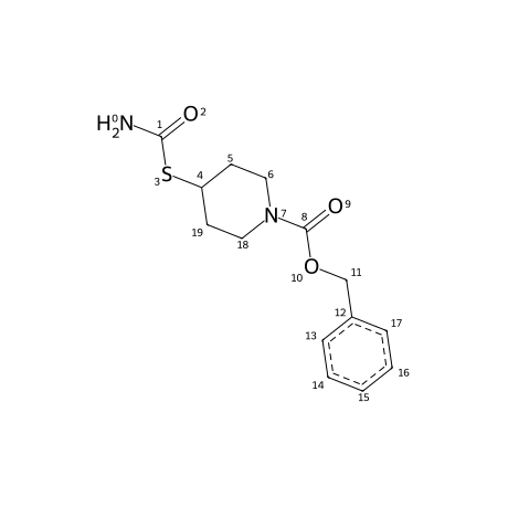 NC(=O)SC1CCN(C(=O)OCc2ccccc2)CC1